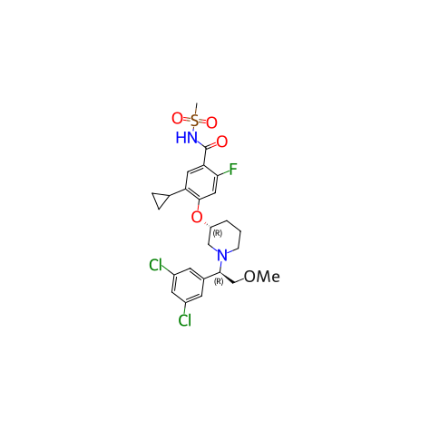 COC[C@@H](c1cc(Cl)cc(Cl)c1)N1CCC[C@@H](Oc2cc(F)c(C(=O)NS(C)(=O)=O)cc2C2CC2)C1